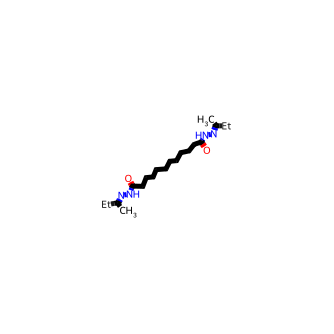 CCC(C)=NNC(=O)CCCCCCCCCCC(=O)NN=C(C)CC